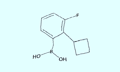 OB(O)c1cccc(F)c1C1CCC1